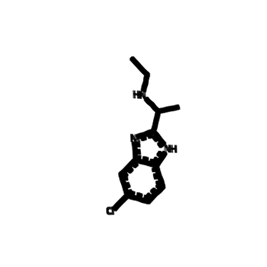 CCNC(C)c1nc2cc(Cl)ccc2[nH]1